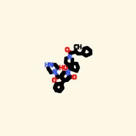 CC(CC1CCCCC1)C(=O)N1CC[C@](O)(Cn2cc(C(=O)N3CCNCC3)c(-c3ccccc3)cc2=O)C2(CCCC2)C1